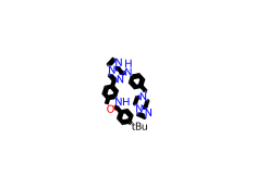 Cc1ccc(-c2cn3ccnc3c(Nc3ccc(CN4CCn5ccnc5C4)cc3)n2)cc1NC(=O)c1ccc(C(C)(C)C)cc1